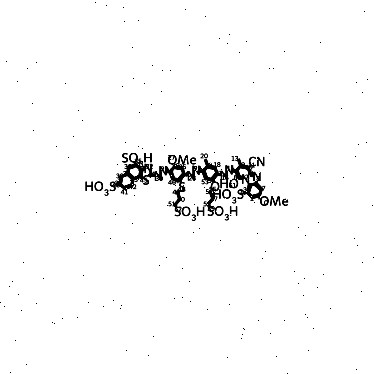 COc1cc(S(=O)(=O)O)c2c(c1)nc1c(C#N)c(C)c(N=Nc3cc(C)c(N=Nc4cc(OC)c(N=Nc5nc6c(S(=O)(=O)O)cc7cc(S(=O)(=O)O)ccc7c6s5)cc4SCCCS(=O)(=O)O)cc3OCCCS(=O)(=O)O)c(O)n12